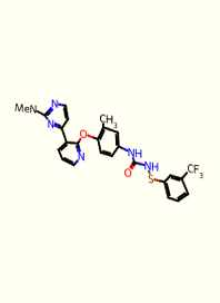 CNc1nccc(-c2cccnc2Oc2ccc(NC(=O)NSc3cccc(C(F)(F)F)c3)cc2C)n1